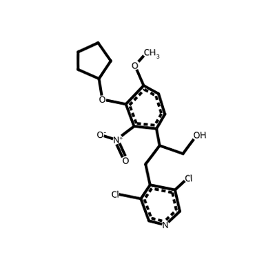 COc1ccc(C(CO)Cc2c(Cl)cncc2Cl)c([N+](=O)[O-])c1OC1CCCC1